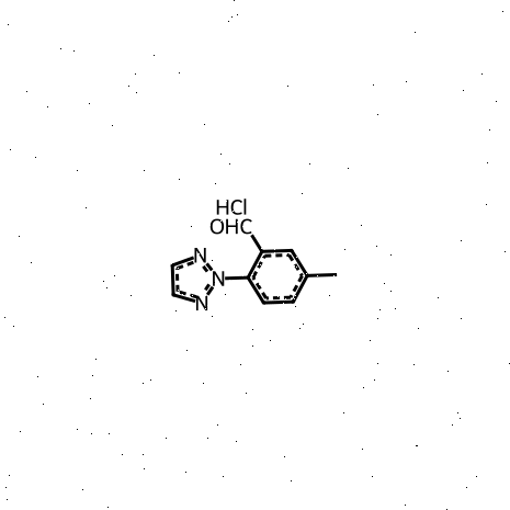 Cc1ccc(-n2nccn2)c(C=O)c1.Cl